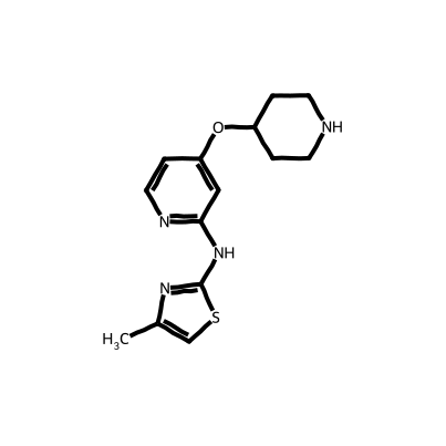 Cc1csc(Nc2cc(OC3CCNCC3)ccn2)n1